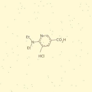 CCN(CC)c1ncc(C(=O)O)cc1C.Cl